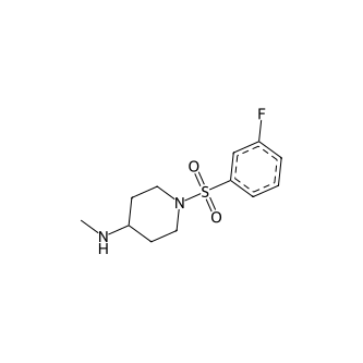 CNC1CCN(S(=O)(=O)c2cccc(F)c2)CC1